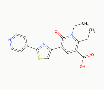 CCc1c(C(=O)O)cc(-c2csc(-c3ccncc3)n2)c(=O)n1CC